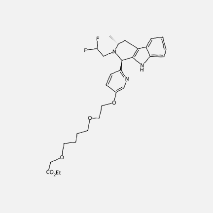 CCOC(=O)COCCCCOCCOc1ccc([C@@H]2c3[nH]c4ccccc4c3C[C@@H](C)N2CC(F)F)nc1